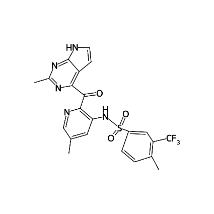 Cc1cnc(C(=O)c2nc(C)nc3[nH]ccc23)c(NS(=O)(=O)c2ccc(C)c(C(F)(F)F)c2)c1